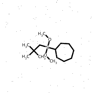 CO[Si](CC(C)(C)C)(OC)C1CCCCCC1